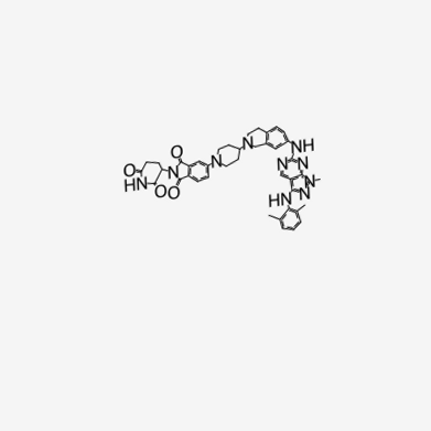 Cc1cccc(C)c1Nc1nn(C)c2nc(Nc3ccc4c(c3)CN(C3CCN(c5ccc6c(c5)C(=O)N(C5CCC(=O)NC5=O)C6=O)CC3)CC4)ncc12